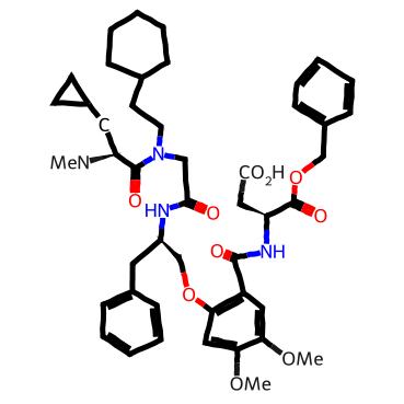 CN[C@@H](CC1CC1)C(=O)N(CCC1CCCCC1)CC(=O)N[C@@H](COc1cc(OC)c(OC)cc1C(=O)N[C@@H](CC(=O)O)C(=O)OCc1ccccc1)Cc1ccccc1